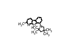 Cc1ccc2c(n1)oc1c(N3CC(C)(C)CC3(C)C)cccc12